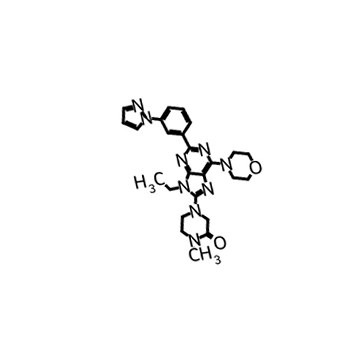 CCn1c(N2CCN(C)C(=O)C2)nc2c(N3CCOCC3)nc(-c3cccc(-n4cccn4)c3)nc21